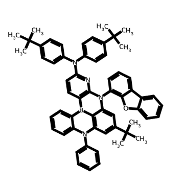 CC(C)(C)c1ccc(N(c2ccc(C(C)(C)C)cc2)c2ccc3c(n2)N(c2cccc4c2oc2ccccc24)c2cc(C(C)(C)C)cc4c2B3c2ccccc2N4c2ccccc2)cc1